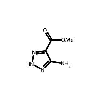 COC(=O)c1n[nH]nc1N